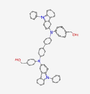 OCc1ccc(N(c2ccc(-c3ccc(N(c4ccc(CO)cc4)c4ccc5c(c4)c4ccccc4n5-c4ccccc4)cc3)cc2)c2ccc3c(c2)c2ccccc2n3-c2ccccc2)cc1